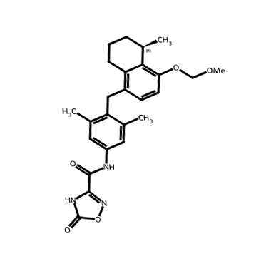 COCOc1ccc(Cc2c(C)cc(NC(=O)c3noc(=O)[nH]3)cc2C)c2c1[C@H](C)CCC2